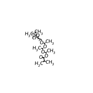 C=C(C)C(=O)OC(C)OC(C)OC(C)OCCO[Si](C)(C)C